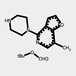 CC(C)(C)OC=O.Cc1cnc(N2CCNCC2)c2ccoc12